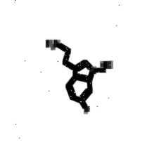 Cl.Cn1cc(CCN)c2ccc(F)cc21